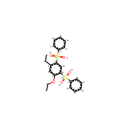 CCOc1cc(CC)c(S(=O)(=O)c2ccccc2)cc1S(=O)(=O)c1ccccc1